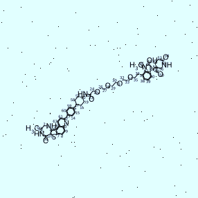 C[C@@H]1CNc2c(sc3ccc4nc(-c5ccc(C6CCC(NC(=O)COCCOCCOCCOCCc7cccc8c7N(C)C(O)N8C7(C=O)CCC(=O)NC7)CC6)cc5)ccc4c23)C(=O)N1